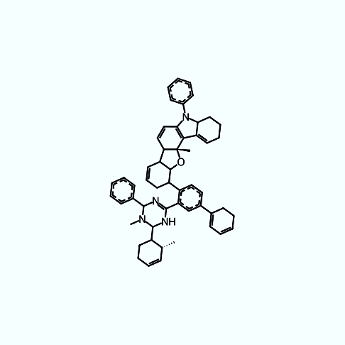 C[C@@H]1C=CCCC1C1NC(c2cc(C3=CC=CCC3)ccc2C2CC=CC3C2O[C@@]2(C)C4=C(C=CC32)N(c2ccccc2)C2CCCC=C42)=NC(c2ccccc2)N1C